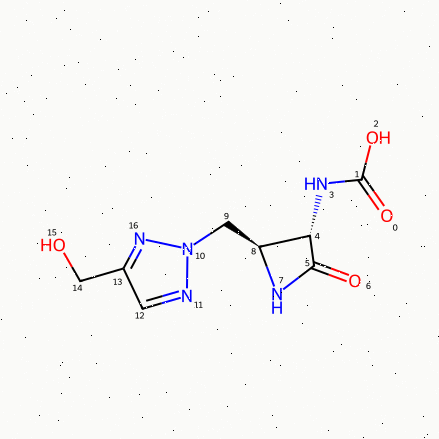 O=C(O)N[C@@H]1C(=O)N[C@H]1Cn1ncc(CO)n1